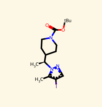 Cc1c(I)cnn1[C@@H](C)C1CCN(C(=O)OC(C)(C)C)CC1